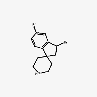 Brc1ccc2c(c1)C(Br)CC21CCNCC1